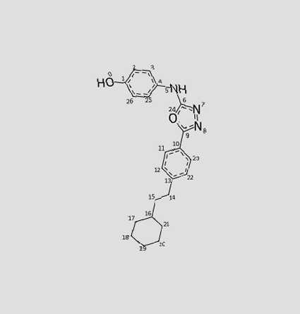 Oc1ccc(Nc2nnc(-c3ccc(CCC4CCCCC4)cc3)o2)cc1